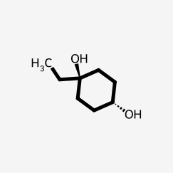 CC[C@]1(O)CC[C@H](O)CC1